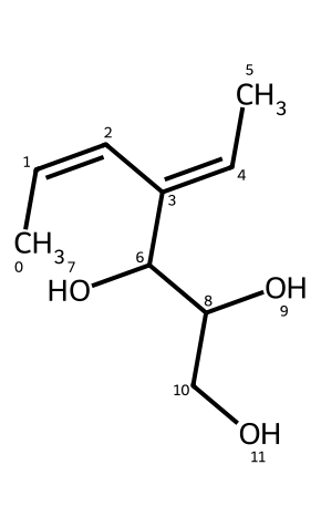 C/C=C\C(=C/C)C(O)C(O)CO